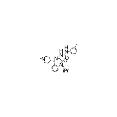 Cc1cccc(NC(=O)NC2N=C(C3CCN(C)CC3)c3ccccc3N(CC(C)C)C2=O)c1